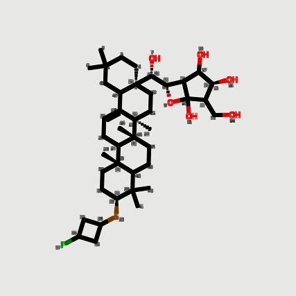 CC1(C)CC[C@]2([C@H](O)[C@H]3OC4(O)C(CO)[C@H](O)C(O)C34)CC[C@]3(C)C(=CCC4[C@@]5(C)CC[C@H](SC6CC(F)C6)C(C)(C)C5CC[C@]43C)C2C1